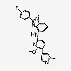 COc1nc(Nc2cccc3c2nc(-c2ccc(F)cc2)n3C)ccc1-c1ccnc(C)c1